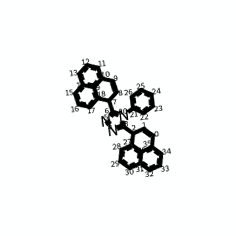 C1=CC(c2nnc(C3C=Cc4cccc5cccc3c45)n2-c2ccccc2)c2cccc3cccc1c23